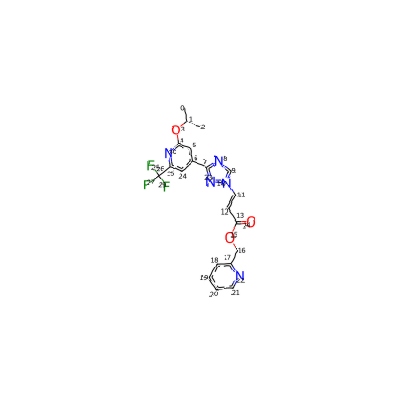 CC(C)Oc1cc(-c2ncn(C=CC(=O)OCc3ccccn3)n2)cc(C(F)(F)F)n1